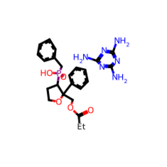 CCC(=O)OCC1(c2ccccc2)OCCC1P(=O)(O)Cc1ccccc1.Nc1nc(N)nc(N)n1